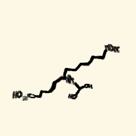 CCCC(O)O.CCCCCCCCCCCCCCCCCCCCCC(=O)O